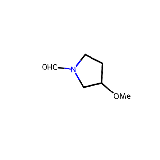 COC1CCN(C=O)C1